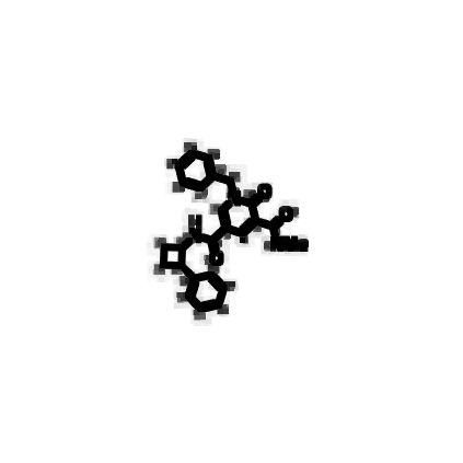 CNC(=O)c1cc(C(=O)NC2CC[C@@H]2c2ccccc2)cn(Cc2ccccc2)c1=O